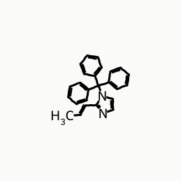 CC=Cc1nccn1C(c1ccccc1)(c1ccccc1)c1ccccc1